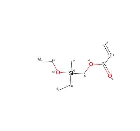 C=CC(=O)OC[Si](C)(CC)OCC